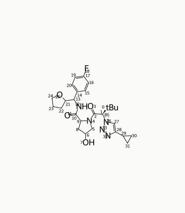 CC(C)(C)[C@H](C(=O)N1CC(O)CC1C(=O)NC(c1ccc(F)cc1)C1CCCO1)n1cc(C2CC2)nn1